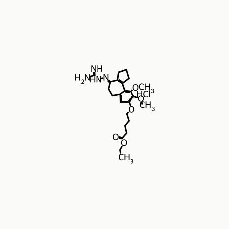 CCOC(=O)CCCCOc1cc2c(c(OC)c1OC)C1=C(CCC1)C(=NNC(=N)N)CC2.Cl